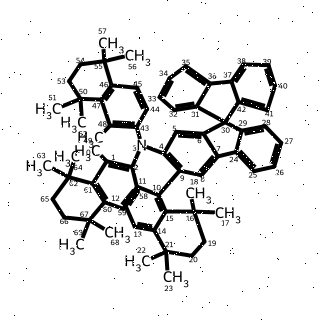 Cc1c(N(c2cc3c(cc2-c2cccc4c2C(C)(C)CCC4(C)C)-c2ccccc2C32c3ccccc3-c3ccccc32)c2ccc3c(c2C)C(C)(C)CCC3(C)C)ccc2c1C(C)(C)CCC2(C)C